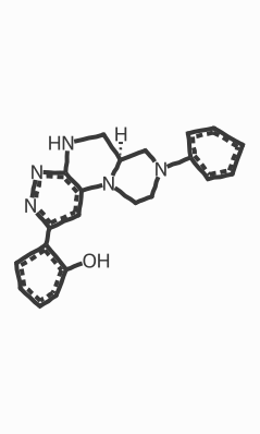 Oc1ccccc1-c1cc2c(nn1)NC[C@H]1CN(c3ccccc3)CCN21